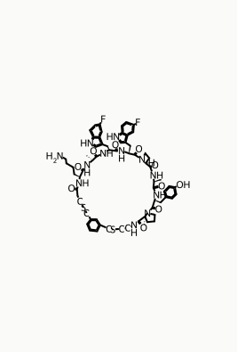 C[C@@H]1NC(=O)[C@@H]2CCN2C(=O)[C@H](Cc2c[nH]c3ccc(F)cc23)NC(=O)[C@H](Cc2c[nH]c3ccc(F)cc23)NC(=O)[C@@H](C)NC(=O)[C@H](CCCCN)NC(=O)CCSCc2cccc(c2)CSCCNC(=O)[C@]2(C)CCCN2C(=O)[C@H](Cc2ccc(O)cc2)NC1=O